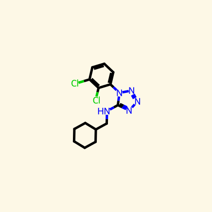 Clc1cccc(-n2nnnc2NCC2CCCCC2)c1Cl